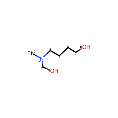 CCN(CO)CCCCO